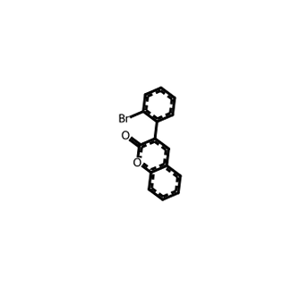 O=c1oc2ccccc2cc1-c1ccccc1Br